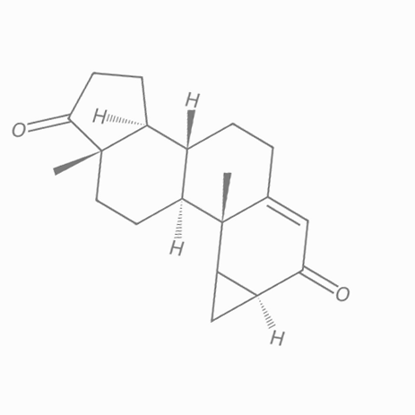 C[C@]12CC[C@H]3[C@@H](CCC4=CC(=O)[C@H]5CC5[C@@]43C)[C@@H]1CCC2=O